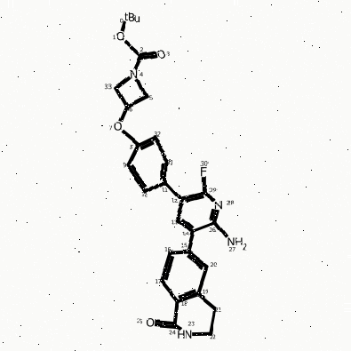 CC(C)(C)OC(=O)N1CC(Oc2ccc(-c3cc(-c4ccc5c(c4)CCNC5=O)c(N)nc3F)cc2)C1